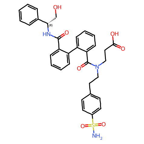 NS(=O)(=O)c1ccc(CCN(CCC(=O)O)C(=O)c2ccccc2-c2ccccc2C(=O)N[C@@H](CO)c2ccccc2)cc1